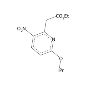 CCOC(=O)Cc1nc(OC(C)C)ccc1[N+](=O)[O-]